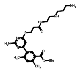 Cc1cc(C)c(-c2cc(SCCC(=O)NCCNCCCN)nc(N)n2)cc1C(=O)OC(C)(C)C